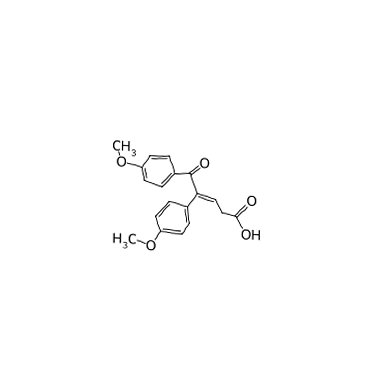 COc1ccc(C(=O)C(=CCC(=O)O)c2ccc(OC)cc2)cc1